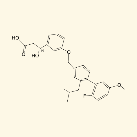 COc1ccc(F)c(-c2ccc(COc3cccc([C@H](O)CC(=O)O)c3)cc2CC(C)C)c1